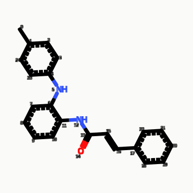 Cc1ccc(Nc2ccccc2NC(=O)C=Cc2ccccc2)cc1